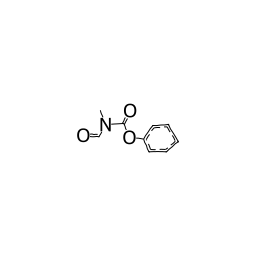 CN(C=O)C(=O)Oc1ccccc1